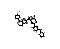 Fc1ccc(-c2nccc3[nH]c(-c4n[nH]c5cnc(-c6cncc(CN7CCCC7)c6)cc45)nc23)s1